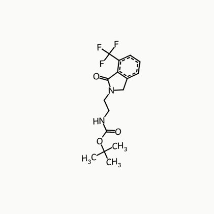 CC(C)(C)OC(=O)NCCN1Cc2cccc(C(F)(F)F)c2C1=O